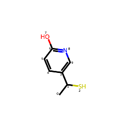 CC(S)c1ccc(O)nc1